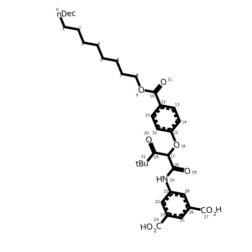 CCCCCCCCCCCCCCCCCCOC(=O)c1ccc(OC(C(=O)Nc2cc(C(=O)O)cc(C(=O)O)c2)C(=O)C(C)(C)C)cc1